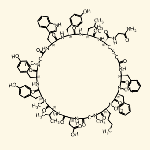 CCCC[C@H]1C(=O)N(C)CC(=O)N[C@@H](CC(=O)O)C(=O)N[C@@H](C(C)C)C(=O)N(C)[C@@H](Cc2ccc(O)cc2)C(=O)N[C@@H](Cc2ccc(O)cc2)C(=O)N(C)CC(=O)N[C@@H](Cc2c[nH]c3ccccc23)C(=O)N[C@@H](Cc2ccc(O)cc2)C(=O)N[C@@H](CC(C)C)C(=O)N[C@H](C(=O)NCC(N)=O)CSCC(=O)N[C@@H](Cc2ccccc2)C(=O)N(C)[C@@H](Cc2ccccc2)C(=O)N1C